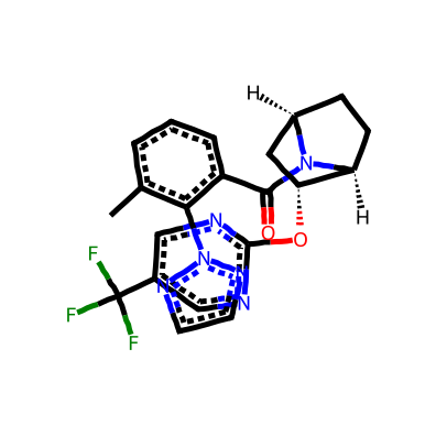 Cc1cccc(C(=O)N2[C@@H]3CC[C@H]2[C@H](Oc2ncc(C(F)(F)F)cn2)C3)c1-n1nccn1